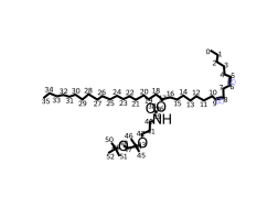 CCCCC/C=C\C/C=C\CCCCCCCC(CCCCCCCCCCCCCCCCCC)OC(=O)NCCCOC(C)(C)COC(C)(C)C